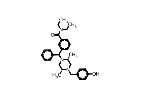 CCN(CC)C(=O)c1cccc(C(c2ccccc2)N2C[C@H](C)N(Cc3ccc(O)cc3)C[C@@H]2C)c1